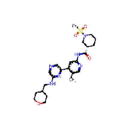 CC(C)S(=O)(=O)N1CCC[C@H](C(=O)Nc2cc(-c3cncc(NCC4CCOCC4)n3)c(C(F)(F)F)cn2)C1